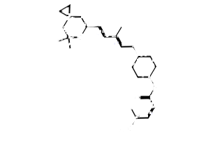 CC(=O)O[C@@H](C)/C=C\C(=O)N[C@H]1CC[C@@H](C/C=C(C)/C=C/[C@@H]2CC3(CC3)CC(C)(C)O2)CC1